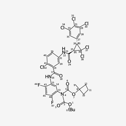 CC(C)(C)OC(=O)N(C(=O)OC1(C)CCC1)c1cc(NC(=O)c2cc(NC(=O)[C@H]3[C@H](c4cc(Cl)c(Cl)c(Cl)c4)C3(Cl)Cl)ccc2Cl)c(F)cc1F